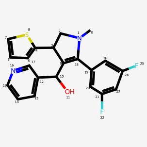 CN1CC(c2cccs2)C(C(O)c2cccnc2)=C1c1cc(F)cc(F)c1